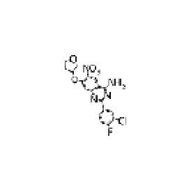 Nc1nc(-c2ccc(F)c(Cl)c2)nc2cc(OC3CCOC3)c([N+](=O)[O-])cc12